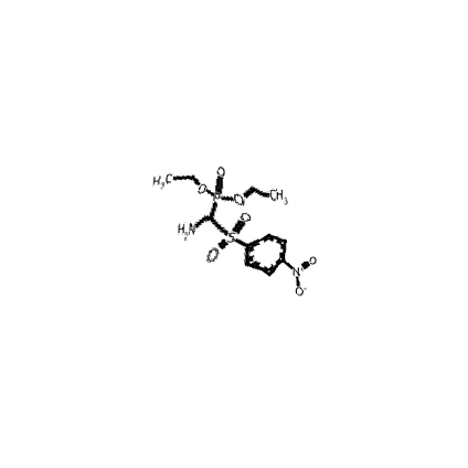 CCOP(=O)(OCC)C(N)S(=O)(=O)c1ccc([N+](=O)[O-])cc1